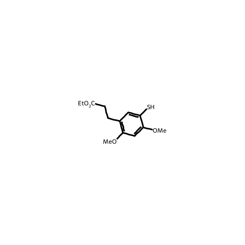 CCOC(=O)CCc1cc(S)c(OC)cc1OC